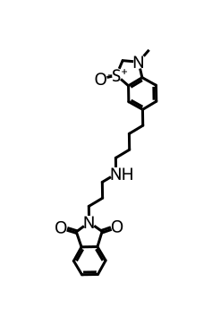 CN1C[S+]([O-])c2cc(CCCCNCCCN3C(=O)c4ccccc4C3=O)ccc21